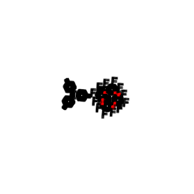 Cc1ccc([C+](c2ccc(C)cc2)c2ccc(C)cc2)cc1.Fc1c(F)c(F)[c]([Al-]([c]2c(F)c(F)c(F)c(F)c2F)([c]2c(F)c(F)c(F)c(F)c2F)[c]2c(F)c(F)c(F)c(F)c2F)c(F)c1F